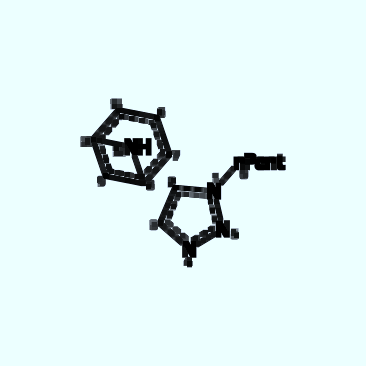 CCCCCn1ccnn1.c1cc2cc(c1)N2